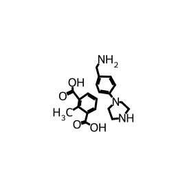 Cc1c(C(=O)O)cccc1C(=O)O.NCc1ccc(N2CCNCC2)cc1